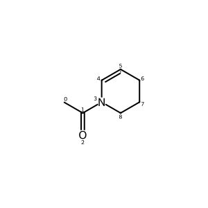 CC(=O)N1C=[C]CCC1